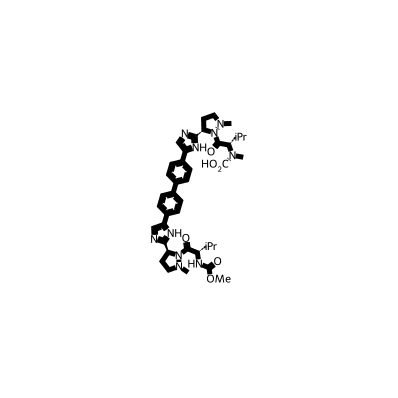 COC(=O)N[C@H](C(=O)N1[C@H](c2ncc(-c3ccc(-c4ccc(-c5cnc([C@@H]6CCN(C)N6C(=O)[C@H](C(C)C)N(C)C(=O)O)[nH]5)cc4)cc3)[nH]2)CCN1C)C(C)C